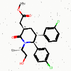 CCCCOC(=O)C[C@H]1C[C@H](c2cccc(Cl)c2)[C@@H](c2ccc(Cl)cc2)N([C@@H](CC)CO)C1=O